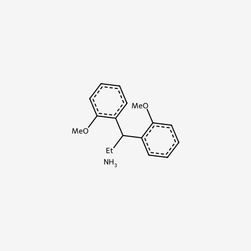 CCC(c1ccccc1OC)c1ccccc1OC.N